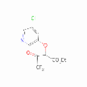 CCOC(=O)C(Oc1cncc(Cl)c1)C(=O)C(F)(F)F